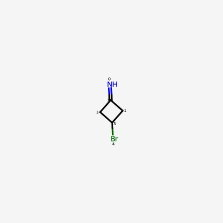 N=C1CC(Br)C1